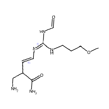 COCCCN/C(=N\C=C\C(CN)C(N)=O)NC=O